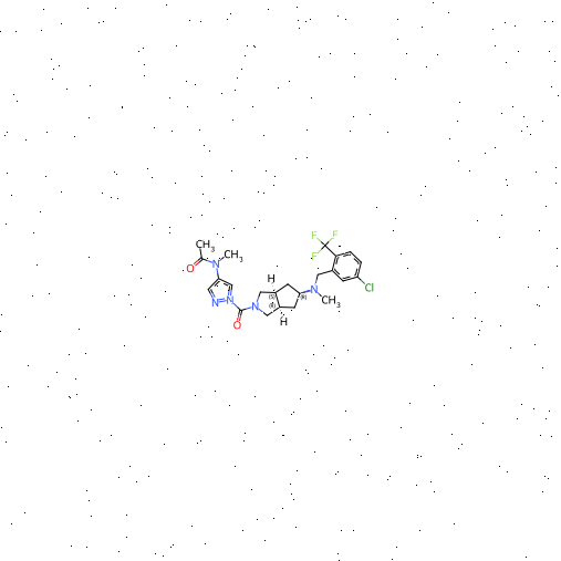 CC(=O)N(C)c1cnn(C(=O)N2C[C@H]3C[C@@H](N(C)Cc4cc(Cl)ccc4C(F)(F)F)C[C@H]3C2)c1